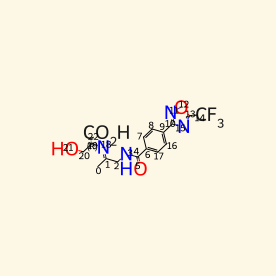 CC(CNC(=O)c1ccc(-c2noc(C(F)(F)F)n2)cc1)=N[C@H](CO)C(=O)O